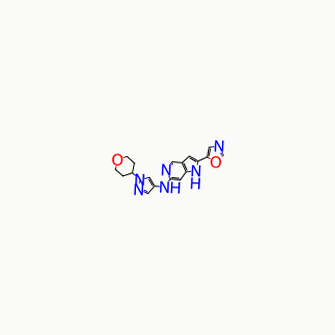 c1ncc(-c2cc3cnc(Nc4cnn(C5CCOCC5)c4)cc3[nH]2)o1